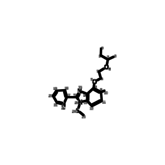 CCC(C)OCCOc1c(C)ccc2c1nc(-c1ccccn1)n2SC